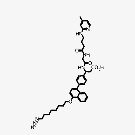 Cc1ccnc(NCCCC(=O)NCC(=O)NC(CC(=O)O)c2ccc(-c3ccc(OCCCCCCCCN=[N+]=[N-])c4ccccc34)cc2)c1